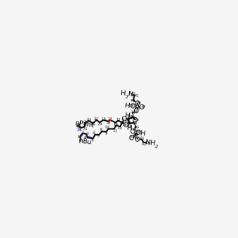 CCCC/C=C\C/C=C\CCCCCCCCC1(CCCCCCCC/C=C\C/C=C\CCCCC)O[C@H]2[C@H](O1)[C@@H](COP(=O)(O)OCCN)O[C@H]2COP(=O)(O)OCCN